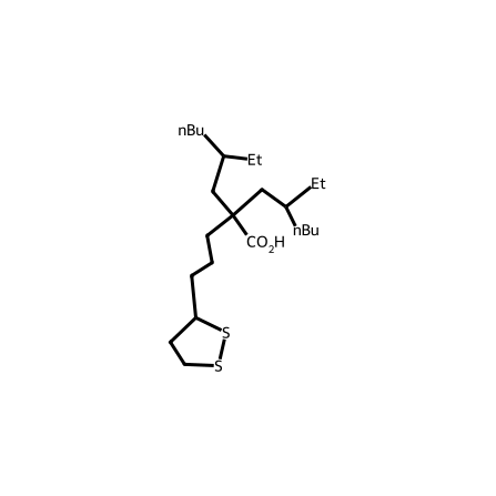 CCCCC(CC)CC(CCCC1CCSS1)(CC(CC)CCCC)C(=O)O